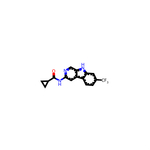 O=C(Nc1cc2c(cn1)[nH]c1cc(C(F)(F)F)ccc12)C1CC1